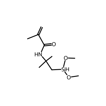 C=C(C)C(=O)NC(C)(C)C[SiH](OC)OC